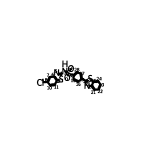 O=S(=O)(Nc1nc2cc(Cl)ccc2s1)c1ccc(-c2nc3ccccc3s2)cc1